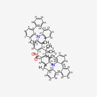 Cc1cccc2c1N(c1ccc3c(c1)C(C)(C)c1cc(N4c5c(C)cccc5-c5ccccc5-c5cccc(C)c54)ccc1S3(=O)=O)c1c(C)cccc1-c1ccccc1-2